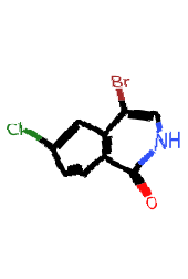 O=c1[nH]cc(Br)c2cc(Cl)ccc12